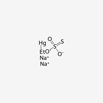 C[CH2][Hg].O=S([O-])([O-])=S.[Na+].[Na+]